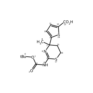 CC(C)(C)OC(=O)NC1=NC(C)(c2ccc(C(=O)O)s2)CCS1